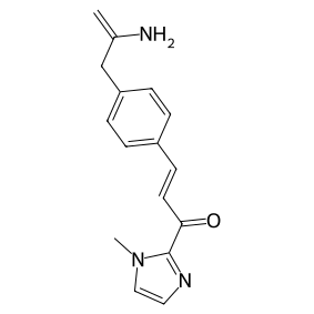 C=C(N)Cc1ccc(/C=C/C(=O)c2nccn2C)cc1